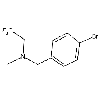 CN(Cc1ccc(Br)cc1)CC(F)(F)F